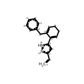 C=Cc1cc(C2=CCCC=C2Cc2ccccc2)[nH]n1